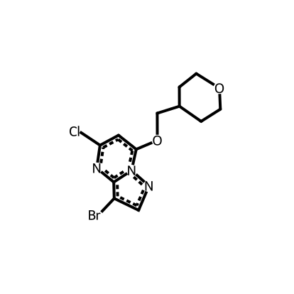 Clc1cc(OCC2CCOCC2)n2ncc(Br)c2n1